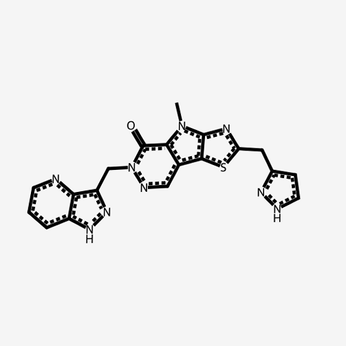 Cn1c2nc(Cc3cc[nH]n3)sc2c2cnn(Cc3n[nH]c4cccnc34)c(=O)c21